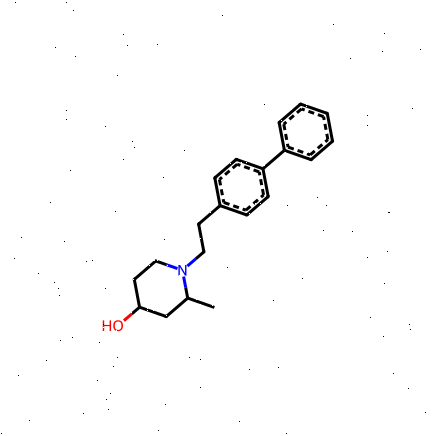 CC1CC(O)CCN1CCc1ccc(-c2ccccc2)cc1